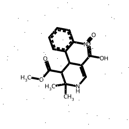 COC(=O)C1C(c2ccccc2[N+](=O)[O-])C(C(=O)O)=CNC1(C)C